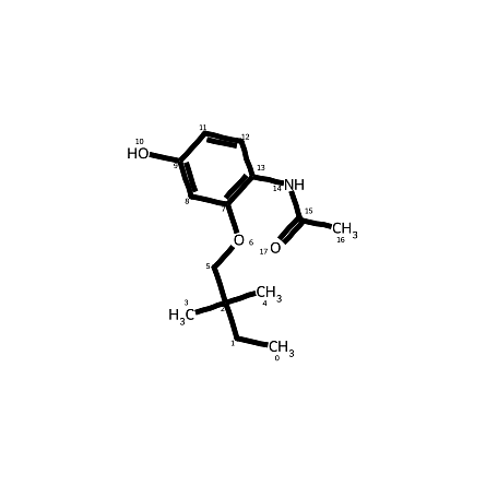 CCC(C)(C)COc1cc(O)ccc1NC(C)=O